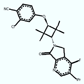 CC(C)c1cnc2c(c1F)CN([C@H]1C(C)(C)[C@H](Oc3ccc(C#N)c(Cl)c3)C1(C)C)C2=O